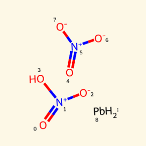 O=[N+]([O-])O.O=[N+]([O-])[O-].[PbH2]